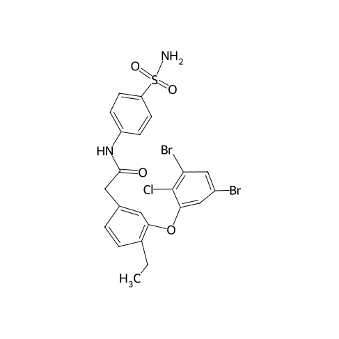 CCc1ccc(CC(=O)Nc2ccc(S(N)(=O)=O)cc2)cc1Oc1cc(Br)cc(Br)c1Cl